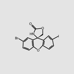 O=C1N[C@@]2(CO1)c1cc(Br)ccc1Oc1ccc(I)cc12